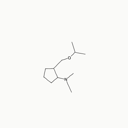 CC(C)OCC1CCCC1N(C)C